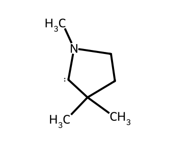 CN1[C]C(C)(C)CC1